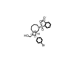 O=[N+]([O-])c1ccccc1S(=O)(=O)N1CCCCN2[C@H](CO)[C@@H](c3ccc(Br)cc3)[C@@H]2C1